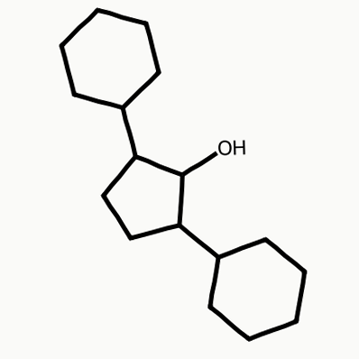 OC1C(C2CCCCC2)CCC1C1CCCCC1